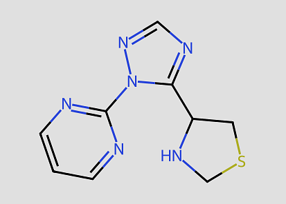 c1cnc(-n2ncnc2C2CSCN2)nc1